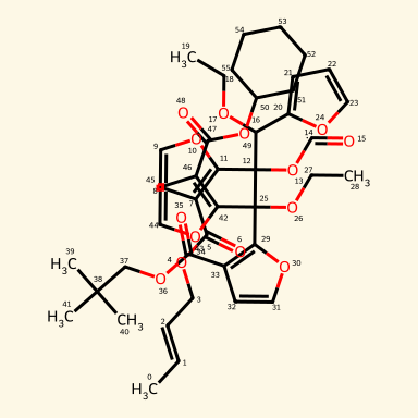 C/C=C/COC(=O)c1ccoc1C(O[C]=O)(C(OCC)c1ccco1)C(OCC)(c1occc1C(=O)OCC(C)(C)C)c1occc1C(=O)OC1CCCCC1